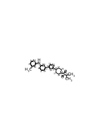 Cc1ccnc(Nc2cccc(-c3cnc(C4CCN(S(=O)(=O)C(C)C)CC4)s3)n2)c1